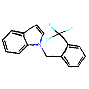 FC(F)(F)c1ccccc1Cn1ccc2ccccc21